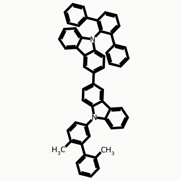 Cc1ccccc1-c1cc(-n2c3ccccc3c3cc(-c4ccc5c(c4)c4ccccc4n5-c4c(-c5ccccc5)cccc4-c4ccccc4)ccc32)ccc1C